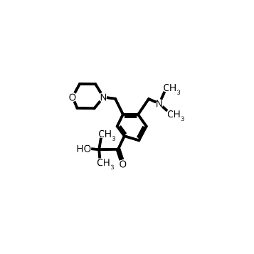 CN(C)Cc1ccc(C(=O)C(C)(C)O)cc1CN1CCOCC1